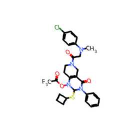 CN(CC(=O)N1CCC2=C(C1)C(=O)N(c1ccccc1)C(SC1CCC1)N2OC(=O)C(F)(F)F)c1ccc(Cl)cc1